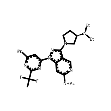 CCN(CC)[C@@H]1CCN(c2nn(-c3cc(C(C)C)nc(C(C)(F)F)n3)c3cc(NC(C)=O)ncc23)C1